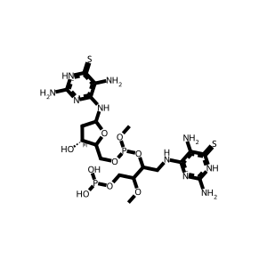 COC(COP(O)O)C(CNc1nc(N)[nH]c(=S)c1N)OP(OC)OCC1OC(Nc2nc(N)[nH]c(=S)c2N)C[C@H]1O